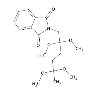 COC(C)(CCC(CN1C(=O)c2ccccc2C1=O)(OC)OC)OC